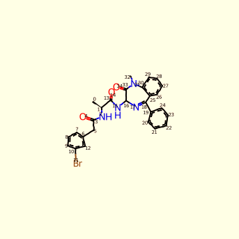 C[C@H](NC(=O)Cc1cccc(Br)c1)C(=O)NC1N=C(c2ccccc2)c2ccccc2N(C)C1=O